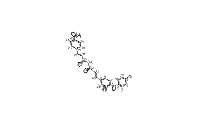 Cc1ccc(Oc2ccc(C=CC(=O)CC(=O)C=Cc3ccc(O)cc3)cn2)cc1